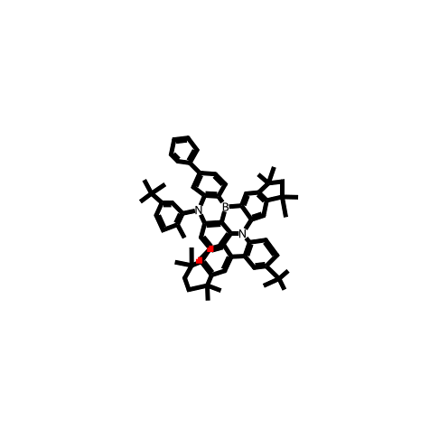 Cc1cc2c3c(c1)N(c1ccc(C(C)(C)C)cc1-c1ccc4c(c1)C(C)(C)CCC4(C)C)c1cc4c(cc1B3c1ccc(-c3ccccc3)cc1N2c1cc(C(C)(C)C)ccc1C)C(C)(C)CC4(C)C